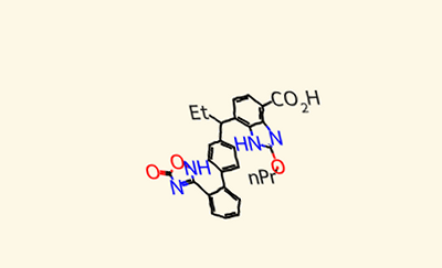 CCCOc1nc2c(C(=O)O)ccc(C(CC)c3ccc(-c4ccccc4-c4nc(=O)o[nH]4)cc3)c2[nH]1